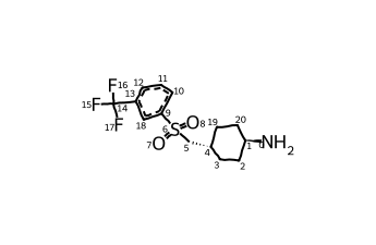 N[C@H]1CC[C@H](CS(=O)(=O)c2cccc(C(F)(F)F)c2)CC1